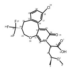 CO[C@@H](C)CC(C(=O)O)n1cc2c(cc1=O)-c1cc(Cl)ccc1C[C@@H](C(F)(F)F)CO2